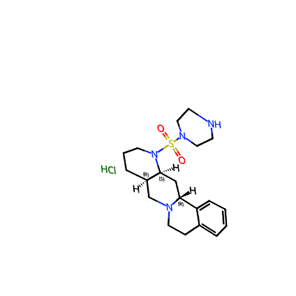 Cl.O=S(=O)(N1CCNCC1)N1CCC[C@@H]2CN3CCc4ccccc4[C@H]3C[C@@H]21